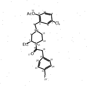 CC[C@H]1CN(Cc2cc(Cl)ccc2OC(C)=O)CCN1C(=O)Cc1ccc(F)cc1